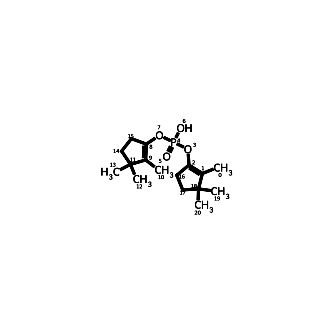 CC1=C(OP(=O)(O)OC2=C(C)C(C)(C)CC2)CCC1(C)C